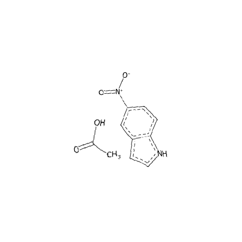 CC(=O)O.O=[N+]([O-])c1ccc2[nH]ccc2c1